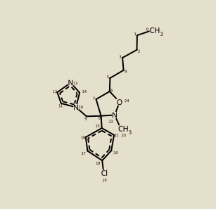 CCCCCCC1CC(Cn2ccnc2)(c2ccc(Cl)cc2)N(C)O1